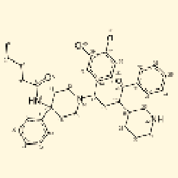 CCCCC(=O)NC1(c2ccccc2)CCN(C(CC(C(=O)c2ccccc2)C2CCCNC2)c2ccc(Cl)c(Cl)c2)CC1